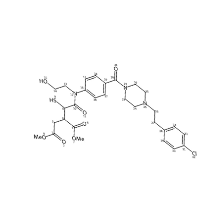 COC(=O)CC(C(=O)OC)C(S)C(=O)N(CCO)c1ccc(C(=O)N2CCN(CCc3ccc(Cl)cc3)CC2)cc1